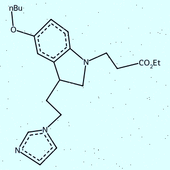 CCCCOc1ccc2c(c1)C(CCn1ccnc1)CN2CCC(=O)OCC